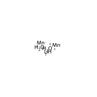 O.O.[LiH].[Mn].[Mn]